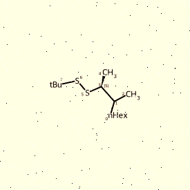 CCCCCCC(C)[C@H](C)SSC(C)(C)C